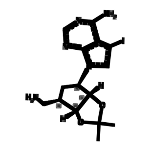 CC1(C)O[C@@H]2[C@@H](CN)C[C@@H](n3cc(I)c4c(N)ncnc43)[C@@H]2O1